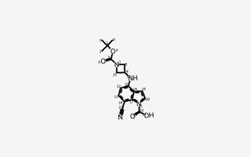 CC(C)(C)OC(=O)N1CC(Nc2ccc(C#N)c3c2ccn3C(=O)O)C1